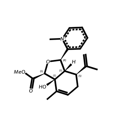 C=C(C)[C@H]1CC=C(C)[C@@]2(O)[C@@H]1[C@H](c1cccc[n+]1C)O[C@@H]2C(=O)OC